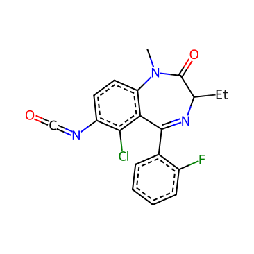 CCC1N=C(c2ccccc2F)c2c(ccc(N=C=O)c2Cl)N(C)C1=O